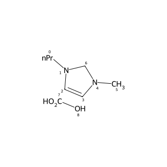 CCCN1C=CN(C)C1.O=C(O)O